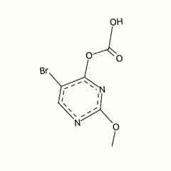 COc1ncc(Br)c(OC(=O)O)n1